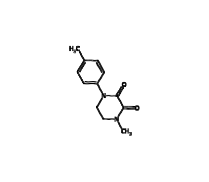 Cc1ccc(N2CCN(C)C(=O)C2=O)cc1